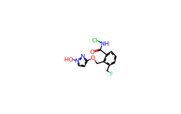 O=C(NCl)c1cccc(CF)c1COc1ccn(O)n1